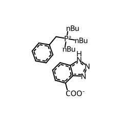 CCCC[P+](CCCC)(CCCC)Cc1ccccc1.O=C([O-])c1cccc2[nH]nnc12